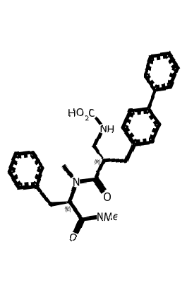 CNC(=O)[C@@H](Cc1ccccc1)N(C)C(=O)[C@@H](CNC(=O)O)Cc1ccc(-c2ccccc2)cc1